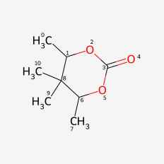 CC1OC(=O)OC(C)C1(C)C